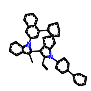 C=Cc1c(-c2c(C)c3ccccc3n2-c2cc(-c3ccccc3)c3ccccc3c2)c2ccccc2n1-c1ccc(-c2ccccc2)cc1